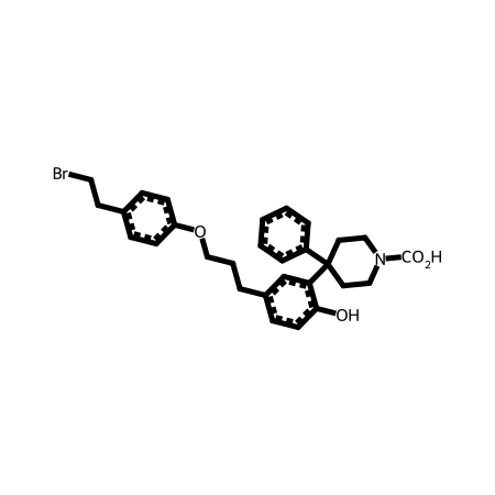 O=C(O)N1CCC(c2ccccc2)(c2cc(CCCOc3ccc(CCBr)cc3)ccc2O)CC1